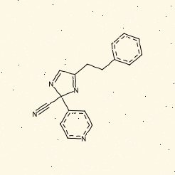 N#CC1(c2ccncc2)N=CC(CCc2ccccc2)=N1